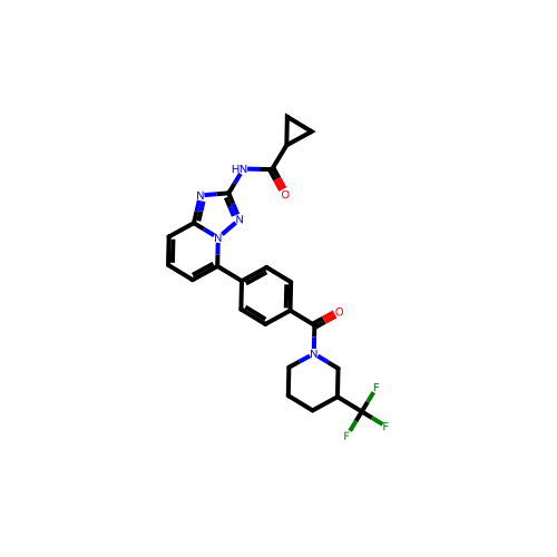 O=C(Nc1nc2cccc(-c3ccc(C(=O)N4CCCC(C(F)(F)F)C4)cc3)n2n1)C1CC1